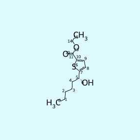 CCCCC[C@@H](O)c1ccc(C(=O)OCC)s1